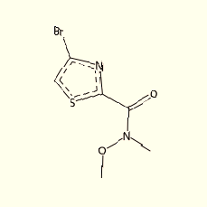 CON(C)C(=O)c1nc(Br)cs1